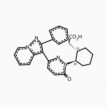 O=C(O)C[C@@H]1CCCC[C@H]1n1nc(-c2c(-c3ccccc3)nn3ccccc23)ccc1=O